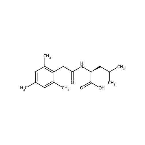 Cc1cc(C)c(CC(=O)N[C@@H](CC(C)C)C(=O)O)c(C)c1